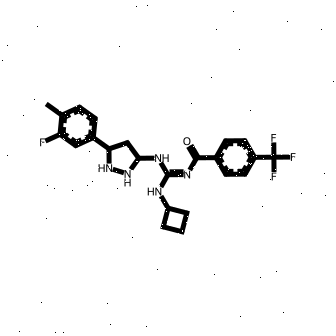 Cc1ccc(C2CC(N/C(=N\C(=O)c3ccc(C(F)(F)F)cc3)NC3CCC3)NN2)cc1F